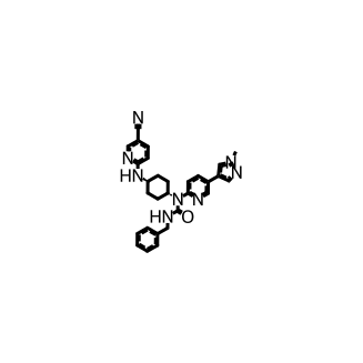 Cn1cc(-c2ccc(N(C(=O)NCc3ccccc3)[C@H]3CC[C@H](Nc4ccc(C#N)cn4)CC3)nc2)cn1